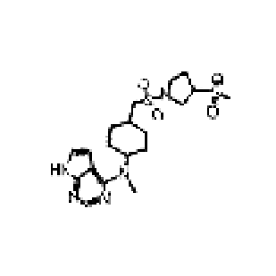 CN(c1ncnc2[nH]ccc12)C1CCC(CS(=O)(=O)N2CCC(S(C)(=O)=O)C2)CC1